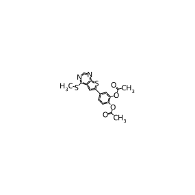 CSc1ncnc2sc(-c3ccc(OC(C)=O)c(OC(C)=O)c3)cc12